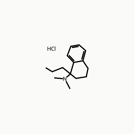 CCCC1(N(C)C)CCCc2ccccc21.Cl